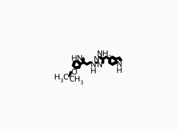 CC(C)COc1ccc2[nH]cc(CCNc3ncc(Cc4ccc5[nH]ccc5c4)c(N)n3)c2c1